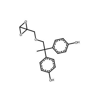 CC(COCC12OC1O2)(c1ccc(O)cc1)c1ccc(O)cc1